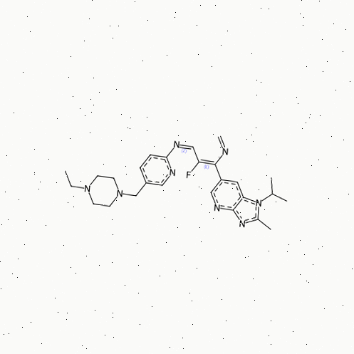 C=N/C(=C(F)\C=N/c1ccc(CN2CCN(CC)CC2)cn1)c1cnc2nc(C)n(C(C)C)c2c1